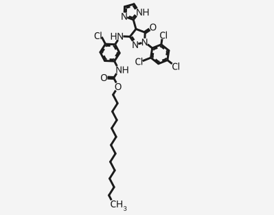 CCCCCCCCCCCCCCOC(=O)Nc1ccc(Cl)c(NC2=NN(c3c(Cl)cc(Cl)cc3Cl)C(=O)C2c2ncc[nH]2)c1